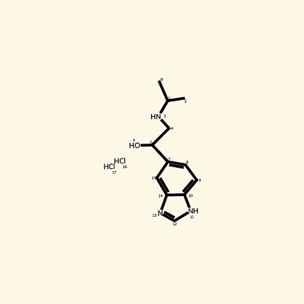 CC(C)NCC(O)c1ccc2[nH]cnc2c1.Cl.Cl